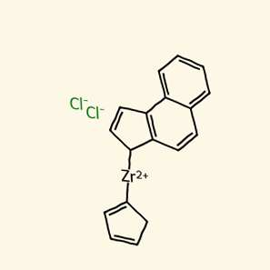 C1=CC[C]([Zr+2][CH]2C=Cc3c2ccc2ccccc32)=C1.[Cl-].[Cl-]